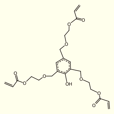 C=CC(=O)OCCOCc1cc(COCCOC(=O)C=C)c(O)c(COCCOC(=O)C=C)c1